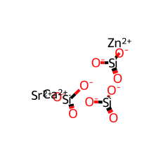 O=[Si]([O-])[O-].O=[Si]([O-])[O-].O=[Si]([O-])[O-].[Ca+2].[Sr+2].[Zn+2]